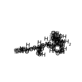 CC[C@H](C)[C@@H]1NC(=O)CNCOc2c([nH]c3cc(OC(=O)N(C)CCSSC(C)(C)C(NC(=O)CCOCCOCCNC(=O)c4ccc5nc6c(nc5c4)CC4CCCCCC4C6)C(=O)NCCS(=O)(=O)O)ccc23)[S+]([O-])C[C@@H](C(=O)N[C@@H](CC(N)=O)C(=O)N2C[C@H](O)C[C@H]2C(=O)N[C@H](C(N)=O)[C@@H](C)[C@@H](O)CO)NC(=O)CNC1=O